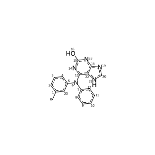 Cc1cccc(N(c2ccccc2)c2nc(O)nc3nc[nH]c23)c1